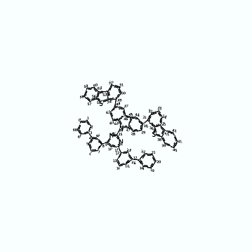 c1ccc(-c2cccc(-c3cc(-c4cccc(-c5ccccc5)c4)nc(-n4c5ccc(-c6cccc7c6sc6ccccc67)cc5c5cc(-c6cccc7c6sc6ccccc67)ccc54)n3)c2)cc1